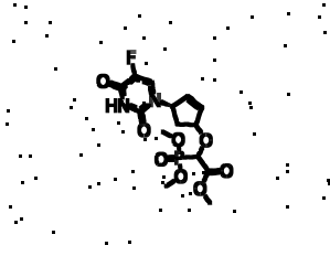 COC(=O)C(OC1C=C[C@H](n2cc(F)c(=O)[nH]c2=O)C1)P(=O)(OC)OC